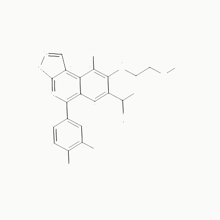 COCCOc1c(C(C)C)cc2c(-c3ccc(O)c(Cl)c3)nc3[nH]ncc3c2c1C